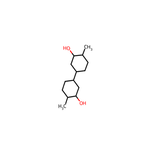 CC1CCC(C2CCC(C)C(O)C2)CC1O